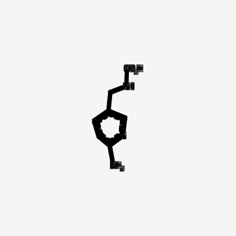 Nc1ccc(CNC(=O)O)cn1